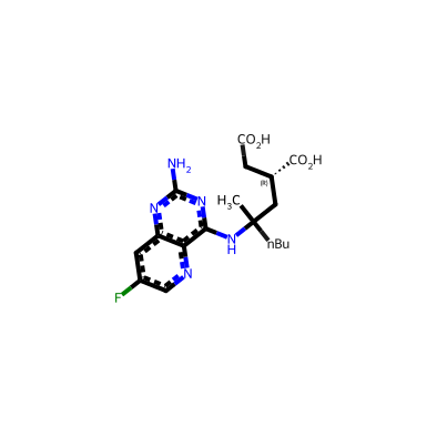 CCCCC(C)(C[C@H](CC(=O)O)C(=O)O)Nc1nc(N)nc2cc(F)cnc12